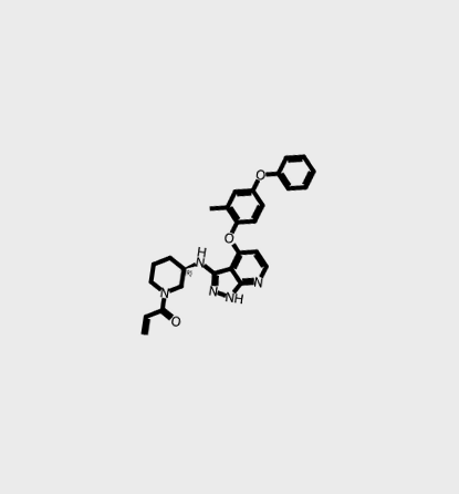 C=CC(=O)N1CCC[C@@H](Nc2n[nH]c3nccc(Oc4ccc(Oc5ccccc5)cc4C)c23)C1